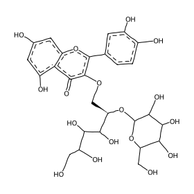 O=c1c(OC[C@@H](OC2OC(CO)C(O)C(O)C2O)C(O)C(O)C(O)CO)c(-c2ccc(O)c(O)c2)oc2cc(O)cc(O)c12